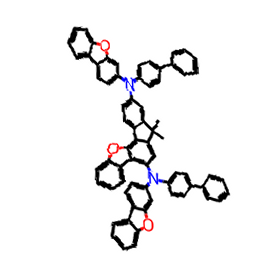 CC1(C)c2cc(N(c3ccc(-c4ccccc4)cc3)c3ccc4c(c3)oc3ccccc34)ccc2-c2c1cc(N(c1ccc(-c3ccccc3)cc1)c1ccc3c(c1)oc1ccccc13)c1c2oc2ccccc21